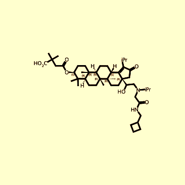 CC(C)C1=C2[C@H]3CC[C@@H]4[C@@]5(C)CC[C@H](OC(=O)CC(C)(C)C(=O)O)C(C)(C)[C@@H]5CC[C@@]4(C)[C@]3(C)CC[C@@]2(C(O)CN(CC(=O)NCC2CCC2)C(C)C)CC1=O